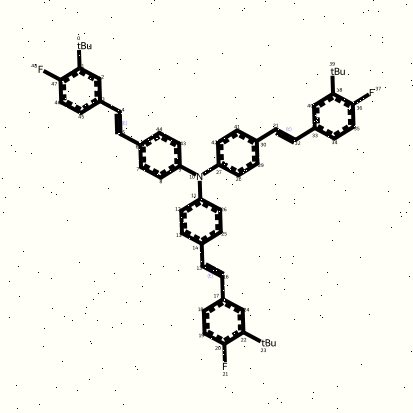 CC(C)(C)c1cc(/C=C/c2ccc(N(c3ccc(/C=C/c4ccc(F)c(C(C)(C)C)c4)cc3)c3ccc(/C=C/c4ccc(F)c(C(C)(C)C)c4)cc3)cc2)ccc1F